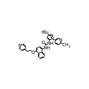 Cc1ccc(-n2nc(C(C)(C)C)cc2NC(=O)Nc2ccc(OCCc3ccncc3)c3ccccc23)cn1